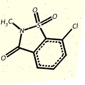 CN1C(=O)c2cccc(Cl)c2S1(=O)=O